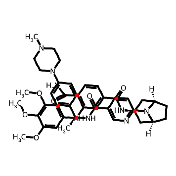 COc1cc(Nc2cc(C(=O)N[C@H]3C[C@H]4CC[C@@H](C3)N4c3ccc(C(=O)N[C@@H](C)c4ccc(N5CCN(C)CC5)cc4)cn3)ccc2C(N)=O)cc(OC)c1OC